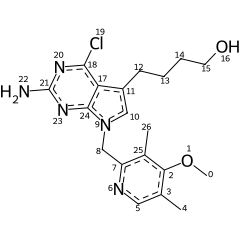 COc1c(C)cnc(Cn2cc(CCCCO)c3c(Cl)nc(N)nc32)c1C